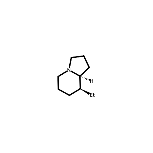 CC[C@H]1CCCN2CCC[C@@H]12